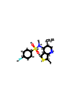 CCOC(=O)c1cnc2c(C)scc2c1N(C)S(=O)(=O)c1ccc(F)cc1